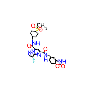 CS(=O)(=O)C1CCC(CNC(=O)c2cc(C(=O)NCc3ccc4oc(=O)[nH]c4c3)nc3c(F)cnn23)CC1